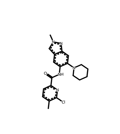 Cc1ccc(C(=O)Nc2cc3cn(C)nc3cc2N2CCCCC2)nc1Cl